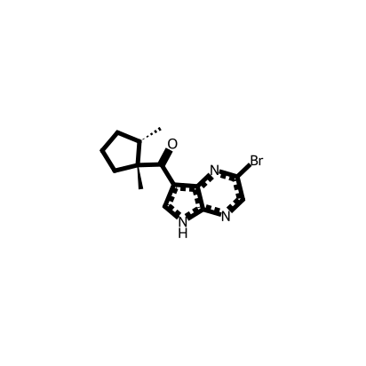 C[C@H]1CCC[C@@]1(C)C(=O)c1c[nH]c2ncc(Br)nc12